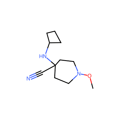 CON1CCC(C#N)(NC2CCC2)CC1